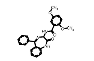 COc1ccc(OC)c(C(=O)NC2N=C(c3ccccc3)c3ccccc3NC2=O)c1